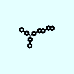 c1ccc2cc(-c3ccc4cc(-c5ccc(N(c6ccc(C7CCCCC7)cc6)c6ccc(C7CCCCC7)cc6)cc5)ccc4c3)ccc2c1